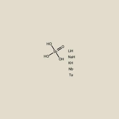 [KH].[LiH].[NaH].[Nb].[O]=[Sb]([OH])([OH])[OH].[Ta]